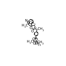 C[C@@H](c1ccc(B2OC(C)(C)C(C)(C)O2)cc1)N1CCC(CC(C)(C)C#N)(c2ccccc2)OC1=O